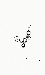 CN(C1CCc2c(C=CC(=O)O)c3ccccc3n2C1)S(=O)(=O)c1ccc(F)cc1